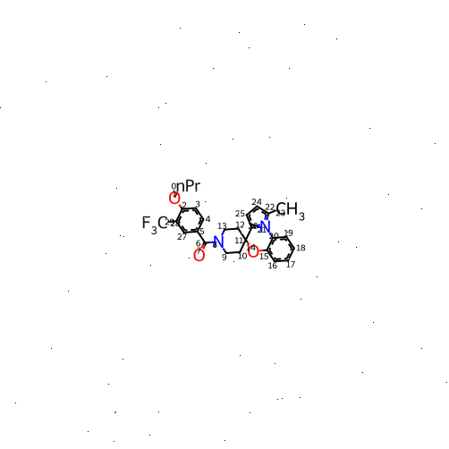 CCCOc1ccc(C(=O)N2CCC3(CC2)Oc2ccccc2-n2c(C)ccc23)cc1C(F)(F)F